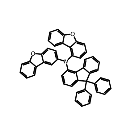 c1ccc(C2(c3ccccc3)c3ccccc3-c3c(N(c4ccc5oc6ccccc6c5c4)c4cccc5oc6ccccc6c45)cccc32)cc1